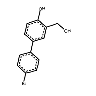 OCc1cc(-c2ccc(Br)cc2)ccc1O